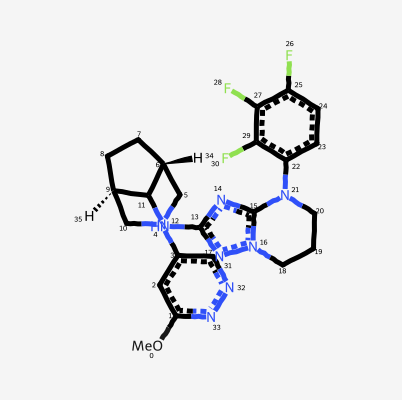 COc1cc(N2C[C@H]3CC[C@H](C2)C3Nc2nc3n(n2)CCCN3c2ccc(F)c(F)c2F)cnn1